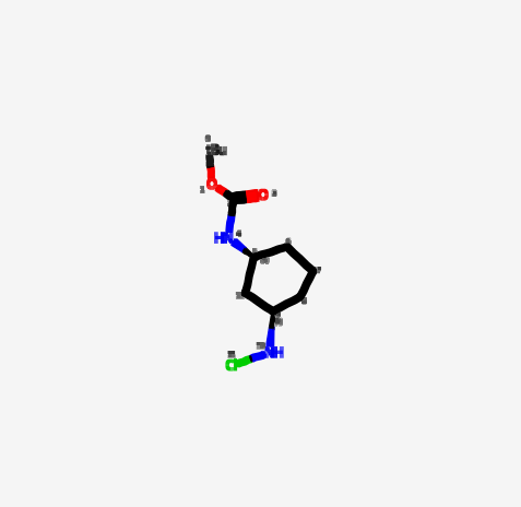 CC(C)(C)OC(=O)N[C@H]1CCC[C@@H](NCl)C1